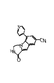 N#Cc1cc(-c2ccncc2)c2c(c1)cc1n2CCNC1=O